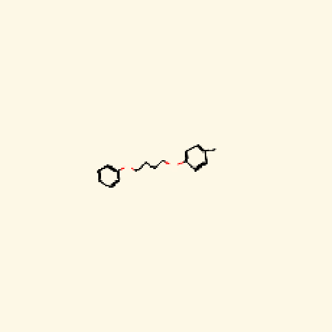 O=Cc1ccc(OCCCCOc2ccccc2)cc1